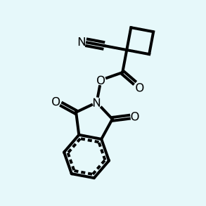 N#CC1(C(=O)ON2C(=O)c3ccccc3C2=O)CCC1